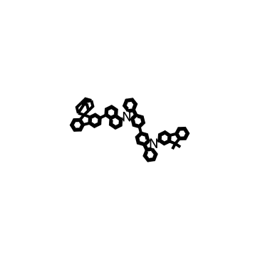 CC1(C)c2ccccc2-c2ccc(-n3c4ccccc4c4ccc(-c5ccc6c7ccccc7n(-c7cccc8c(-c9ccc%10c(c9)C9(c%11ccccc%11-%10)C%10CC%11CC(C%10)CC9C%11)cccc78)c6c5)cc43)cc21